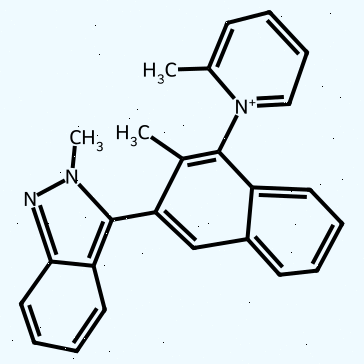 Cc1c(-c2c3ccccc3nn2C)cc2ccccc2c1-[n+]1ccccc1C